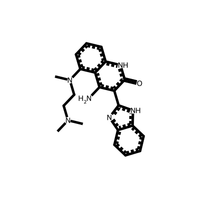 CN(C)CCN(C)c1cccc2[nH]c(=O)c(-c3nc4ccccc4[nH]3)c(N)c12